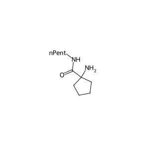 CCCCCNC(=O)C1(N)CCCC1